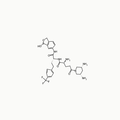 N[C@@H]1C[C@H](N)CN(C(=O)CC[C@H](N)C(=O)N[C@H](CCc2ccc(C(F)(F)F)cc2)C(=O)Nc2ccc3c(c2)B(O)OC3)C1